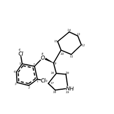 Clc1cccc(Cl)c1O[C@@H](C1CCCCC1)C1CCNC1